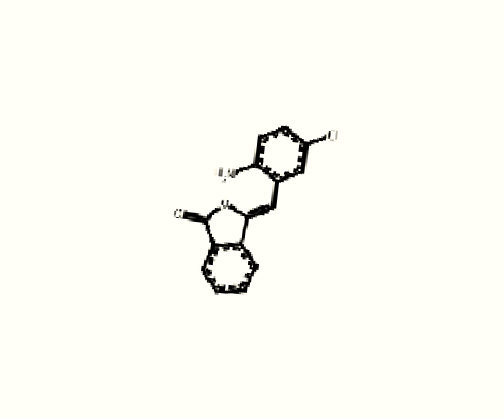 Nc1ccc(Cl)cc1C=C1OC(=O)c2ccccc21